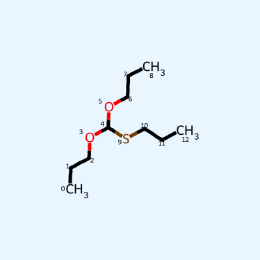 CCCOC(OCCC)SCCC